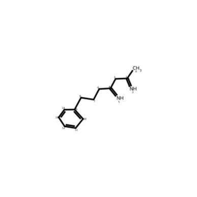 CC(=N)CC(=N)CCCc1ccccc1